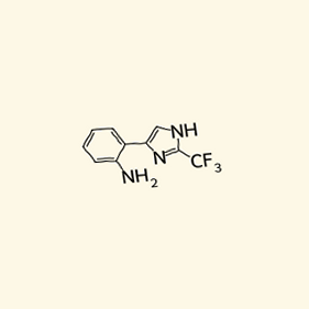 Nc1ccccc1-c1c[nH]c(C(F)(F)F)n1